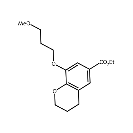 CCOC(=O)c1cc2c(c(OCCCOC)c1)OCCC2